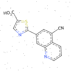 N#Cc1cc(-c2ncc(C(=O)O)s2)cc2ncccc12